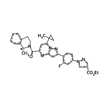 CCOC(=O)c1cnn(-c2ccc(-c3cc4nc(C(=O)N5CCc6ccccc6[C@H]5C)cc(C5(C)CC5)n4n3)c(F)c2)c1